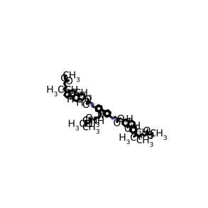 COC(=O)CC[C@@H](C)C(C)C1(C)CCC2[C@@H](CC[C@H]3C[C@H](OC(=O)/C=C/c4ccc5c6ccc(/C=C/C(=O)O[C@@H]7CCC8(C)C9CCC%10(C)C([C@H](C)CCC(=O)OC)CC[C@H]%10[C@@H]9CC[C@@H]8C7)cc6n(CCNC(=O)OC(C)(C)C)c5c4)CCC23C)C1